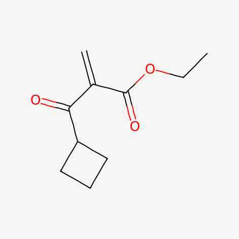 C=C(C(=O)OCC)C(=O)C1CCC1